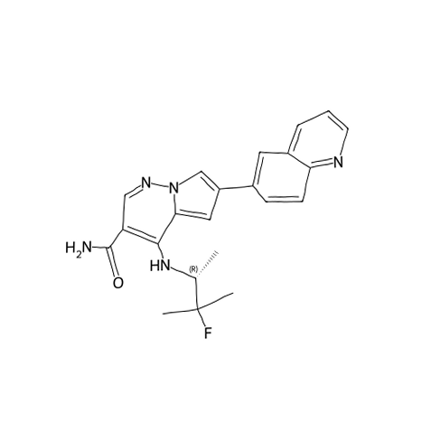 C[C@@H](Nc1c(C(N)=O)cnn2cc(-c3ccc4ncccc4c3)cc12)C(C)(C)F